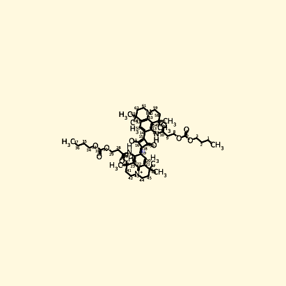 CCCCOC(=O)OCCC(=O)Nc1c(C2=C([O-])/C(=c3/cc4c5c(c3NC(=O)CCOC(=O)OCCCC)C(C)(C)CC[N+]=5CCC4(C)C)C2=O)cc2c3c1C(C)(C)CCN3CCC2(C)C